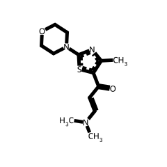 Cc1nc(N2CCOCC2)sc1C(=O)C=CN(C)C